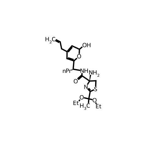 C=CCC1=CC(O)OC([C@@H](CCC)NC(=O)[C@]2(N)CSC(C(C)(OCC)OCC)=N2)=C1